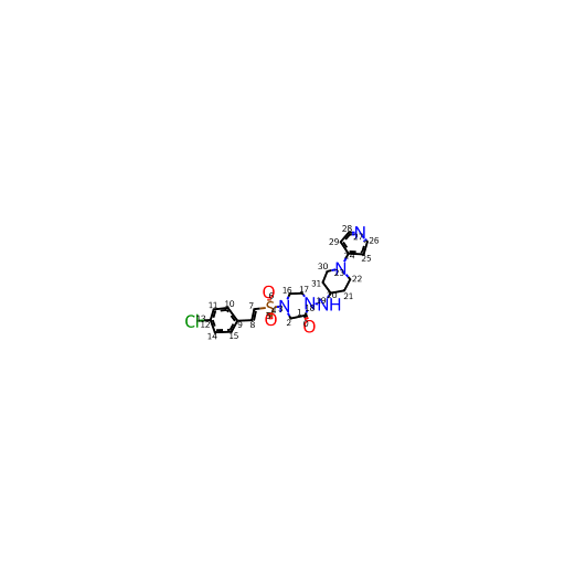 O=C1CN(S(=O)(=O)C=Cc2ccc(Cl)cc2)CCN1NC1CCN(c2ccncc2)CC1